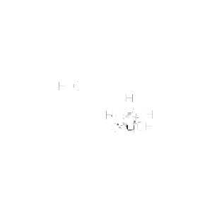 CCCCCCCCCCCC(=O)[C@@]1(S)O[C@@H](C)[C@@H](O)[C@@H](O)[C@@H]1O